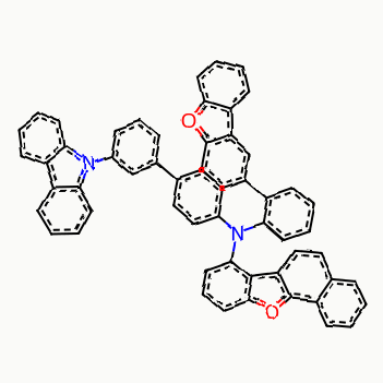 c1cc(-c2ccc(N(c3ccccc3-c3ccc4oc5ccccc5c4c3)c3cccc4oc5c6ccccc6ccc5c34)cc2)cc(-n2c3ccccc3c3ccccc32)c1